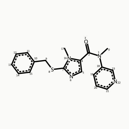 CN(C(=O)c1cnc(SCc2ccccc2)n1C)c1cccnc1